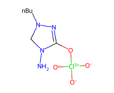 CCCCN1CN(N)C(O[Cl+3]([O-])([O-])[O-])=N1